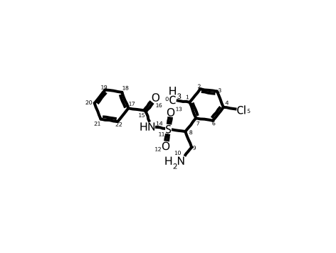 Cc1ccc(Cl)cc1C(CN)S(=O)(=O)NC(=O)c1ccccc1